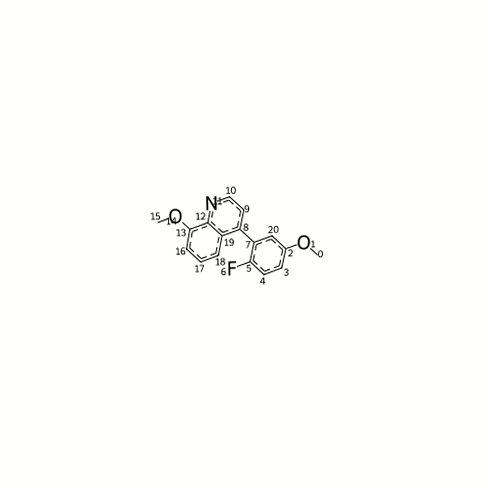 COc1ccc(F)c(-c2ccnc3c(OC)cccc23)c1